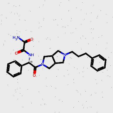 NC(=O)C(=O)N[C@H](C(=O)N1CC2CN(CC[CH]c3ccccc3)CC2C1)c1ccccc1